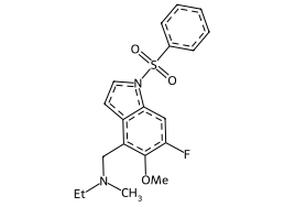 CCN(C)Cc1c(OC)c(F)cc2c1ccn2S(=O)(=O)c1ccccc1